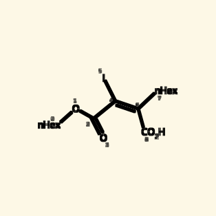 CCCCCCOC(=O)C(I)=C(CCCCCC)C(=O)O